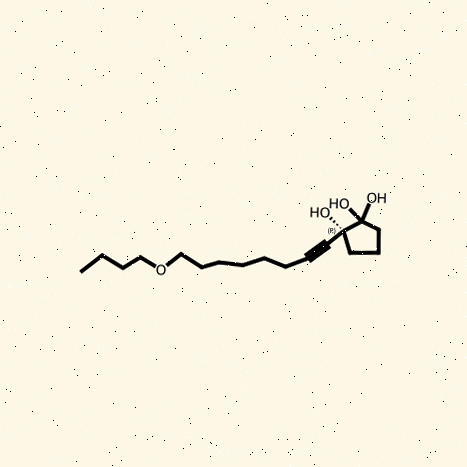 CCCCOCCCCCCC#C[C@]1(O)CCCC1(O)O